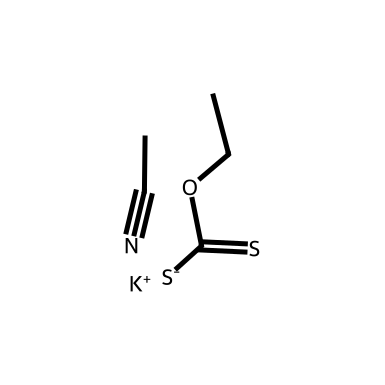 CC#N.CCOC(=S)[S-].[K+]